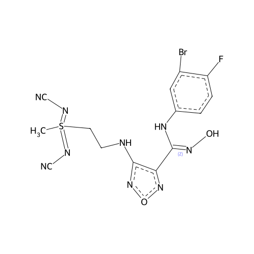 CS(CCNc1nonc1/C(=N/O)Nc1ccc(F)c(Br)c1)(=NC#N)=NC#N